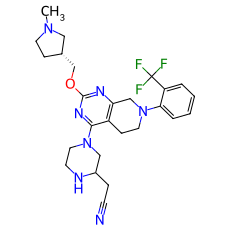 CN1CC[C@@H](COc2nc3c(c(N4CCNC(CC#N)C4)n2)CCN(c2ccccc2C(F)(F)F)C3)C1